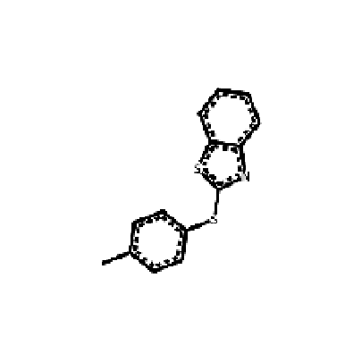 Cc1ccc(Sc2nc3ccccc3s2)cc1